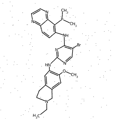 CCN1CCc2cc(Nc3ncc(Br)c(Nc4ccc5nccnc5c4P(C)C)n3)c(OC)cc2C1